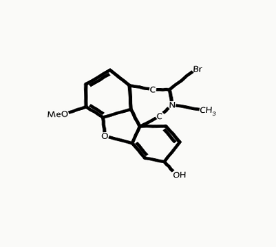 COC1=C2OC3=CC(O)C=CC34CN(C)C(Br)CC(C=C1)C24